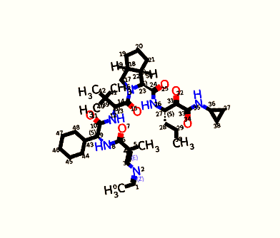 C/C=N\C=C(/C)C(=O)N[C@H](C(=O)N[C@H](C(=O)N1C[C@@H]2CCC[C@@H]2[C@H]1C(=O)N[C@@H](CCC)C(=O)C(=O)NC1CC1)C(C)(C)C)C1CCCCC1